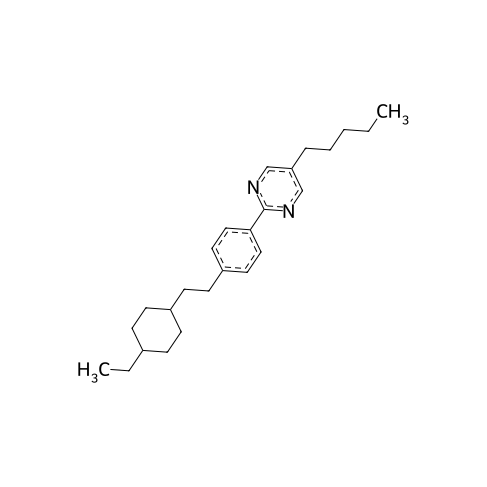 CCCCCc1cnc(-c2ccc(CCC3CCC(CC)CC3)cc2)nc1